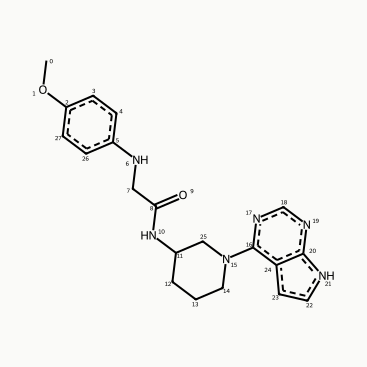 COc1ccc(NCC(=O)NC2CCCN(c3ncnc4[nH]ccc34)C2)cc1